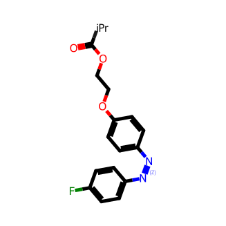 CC(C)C(=O)OCCOc1ccc(/N=N\c2ccc(F)cc2)cc1